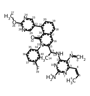 C=Nc1c(/C=C\C)nc(N)nc1N[C@@H](C)c1cc2cccc(-c3cnc(OC)nc3)c2c(=O)n1-c1cccc(F)c1